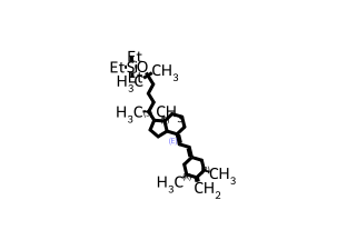 C=C1[C@H](C)CC(=C/C=C2\CCC[C@@]3(C)C2CCC3[C@@H](C)CCCC(C)(C)O[Si](CC)(CC)CC)C[C@H]1C